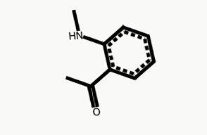 CNc1[c]cccc1C(C)=O